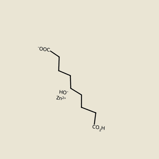 O=C([O-])CCCCCCCC(=O)O.[OH-].[Zn+2]